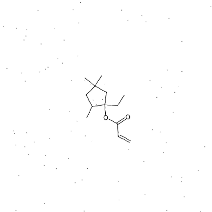 C=CC(=O)OC1(CC)CC(C)(C)CC1C